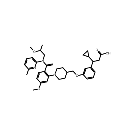 C=C(c1ccc(OC)cc1N1CCC(COc2cccc(C(CC(=O)O)C3CC3)c2)CC1)N(CC(C)OC)c1cccc(C)n1